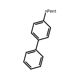 CCCCCc1ccc(-c2cc[c]cc2)cc1